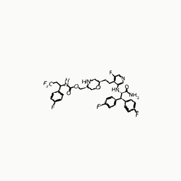 NC(=O)[C@@H](Nc1cncc(F)c1CC[C@@H]1CN[C@H](COC(=O)NC(CC(F)(F)F)c2ccc(F)cc2)CO1)C(c1ccc(F)cc1)c1ccc(F)cc1